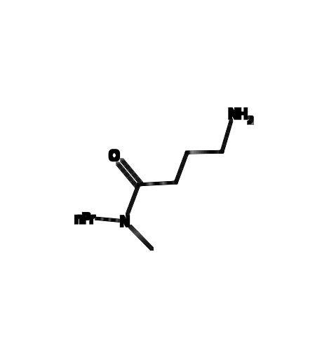 CCCN(C)C(=O)CCCN